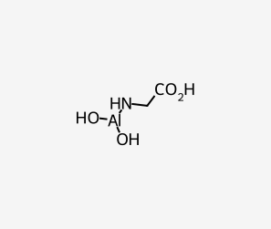 O=C(O)C[NH][Al]([OH])[OH]